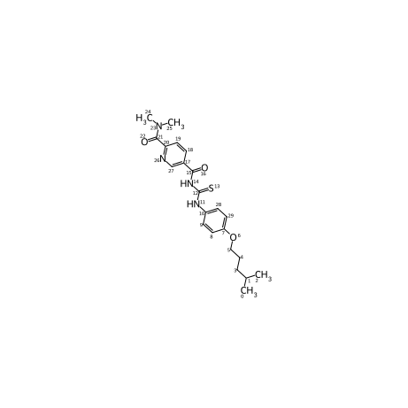 CC(C)CCCOc1ccc(NC(=S)NC(=O)c2ccc(C(=O)N(C)C)nc2)cc1